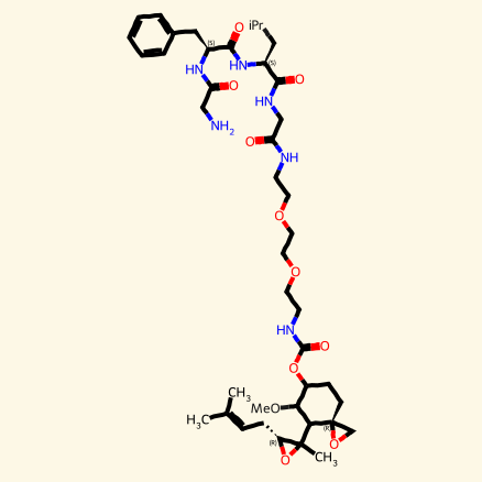 COC1C(OC(=O)NCCOCCOCCNC(=O)CNC(=O)[C@H](CC(C)C)NC(=O)[C@H](Cc2ccccc2)NC(=O)CN)CC[C@]2(CO2)C1C1(C)O[C@@H]1CC=C(C)C